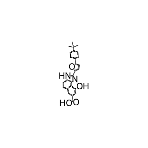 CC(C)(C)c1ccc(-c2ccc(-c3nc4c(ccc5cc(C(=O)O)cc(O)c54)[nH]3)o2)cc1